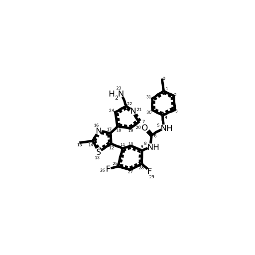 Cc1ccc(NC(=O)Nc2cc(-c3sc(C)nc3-c3ccnc(N)c3)c(F)cc2F)cc1